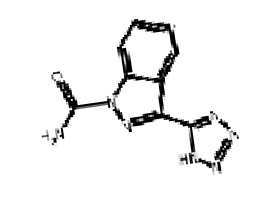 NC(=O)n1nc(-c2nnn[nH]2)c2c[c]ccc21